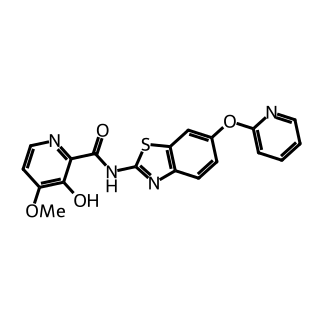 COc1ccnc(C(=O)Nc2nc3ccc(Oc4ccccn4)cc3s2)c1O